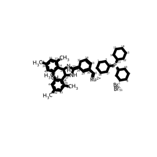 C1CCC(P(C2CCCCC2)C2CCCCC2)CC1.Cc1cc(C)c(C2NC(=C3C=C([CH]=[Ru+2])C=CC3)NC2c2c(C)cc(C)cc2C)c(C)c1.[Br-].[Br-]